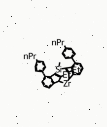 CCCc1ccc(-c2cccc3c2C2=C(CC)[CH]3[Zr][CH]3C(CC)=C(c4c(-c5ccc(CCC)cc5)cccc43)[Si]2(C)C)cc1